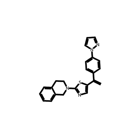 C=C(c1ccc(-n2cccn2)cc1)c1cnc(N2CCc3ccccc3C2)s1